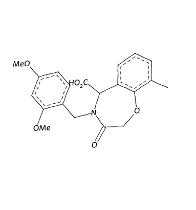 COc1ccc(CN2C(=O)COc3c(C)cccc3C2C(=O)O)c(OC)c1